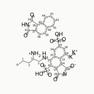 CCCC(N)CNc1c(S(=O)(=O)O)c2c(c3[c]([K])cc(S(=O)(=O)O)cc13)C([O-])=NC2=O.O=C1NC(=O)c2c1ccc1ccccc21.[K+]